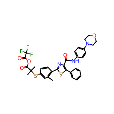 Cc1cc(SC(C)(C)C(=O)OC(=O)C(F)(F)F)ccc1-c1nc(C(=O)Nc2ccc(N3CCOCC3)cc2)c(-c2ccccc2)s1